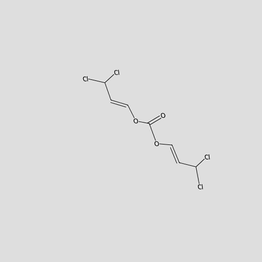 O=C(OC=CC(Cl)Cl)OC=CC(Cl)Cl